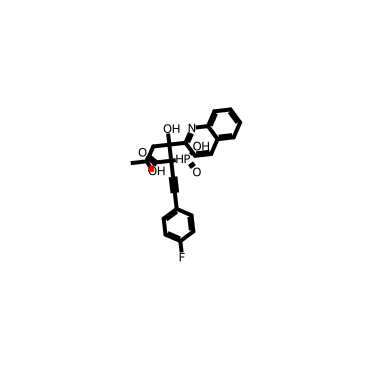 CC(C)CC(O)(c1ccc2ccccc2n1)C(C#Cc1ccc(F)cc1)(C(=O)O)[PH](=O)O